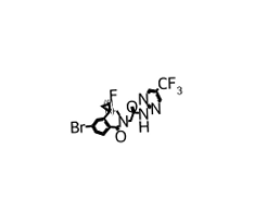 O=C(CN1C[C@@]2(C[C@@H]2F)c2cc(Br)ccc2C1=O)Nc1ncc(C(F)(F)F)cn1